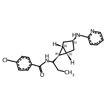 CCC(NC(=O)c1ccc(Cl)cc1)[C@H]1[C@@H]2C[C@@H](Nc3ccccn3)C[C@@H]21